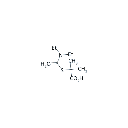 C=C(SC(C)(C)C(=O)O)N(CC)CC